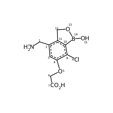 NCc1cc(OCC(=O)O)c(Cl)c2c1COB2O